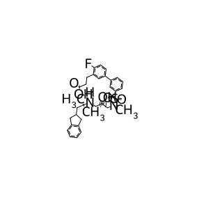 CN(C[C@H](O)CNC(C)(C)CC1Cc2ccccc2C1)S(=O)(=O)c1cccc(-c2ccc(F)c(CCC(=O)O)c2)c1